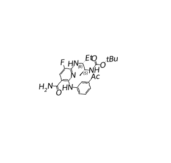 CC[C@@H](Nc1nc(Nc2cccc(C(C)=O)c2)c(C(N)=O)cc1F)[C@H](C)NC(=O)OC(C)(C)C